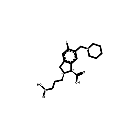 O=C(O)[C@@H]1c2cc(CN3CCCCC3)c(F)cc2C[C@@H]1CCCB(O)O